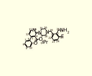 CC(C)OC(=O)c1c(-c2ccccc2)ccnc1N1CCN(Cc2cccc(F)c2CN)CC1